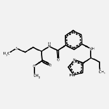 CCC(Nc1cccc(C(=O)NC(CCSC)C(=O)OC)c1)c1c[nH]cn1